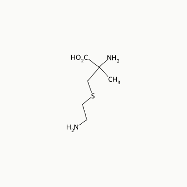 CC(N)(CSCCN)C(=O)O